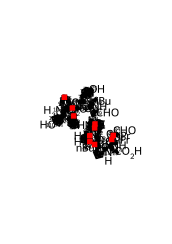 CCCC[C@@H](C(=O)N1CCC[C@@H]1C(=O)N[C@@H](CC(=O)O)C(=O)N[C@H](C(=O)N(C)[C@H](C=O)C(C)C)C(C)C)N(C)C(=O)[C@H](Cc1ccccc1)N(C)C(=O)[C@H](Cc1ccc(F)cc1)NC(=O)CSC[C@@H](C=O)NC(=O)[C@H](CC(C)CC)NC(=O)[C@H](Cc1ccc(O)cc1)NC(=O)[C@H](Cc1c[nH]c2ccccc12)NC(=O)[C@H]1CCCCN1C(=O)[C@@H](N)Cc1ccc(O)cc1